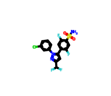 NS(=O)(=O)c1cc(F)c(-c2cc(C(F)F)nn2-c2cccc(Cl)c2)cc1F